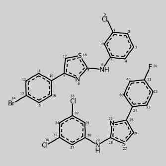 Clc1cccc(Nc2nc(-c3ccc(Br)cc3)cs2)c1.Fc1ccc(-c2csc(Nc3cc(Cl)cc(Cl)c3)n2)cc1